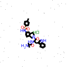 Cc1ccc(S(=O)(=O)Nc2ccc3c(c2)CCN(C(=O)C(Cc2c[nH]c4ccccc24)NC(=O)C(C)(C)N)C3)cc1.Cl